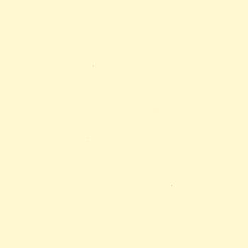 COCOc1cc(C)c(OCOC)cc1C